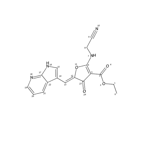 CCOC(=O)C1=C(NCC#N)O/C(=C\c2c[nH]c3ncccc23)C1=O